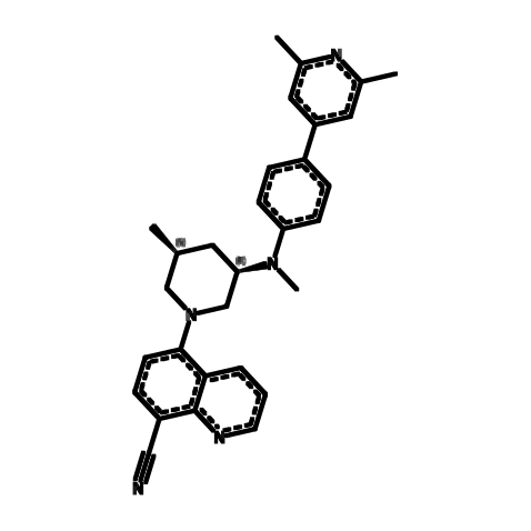 Cc1cc(-c2ccc(N(C)[C@@H]3C[C@H](C)CN(c4ccc(C#N)c5ncccc45)C3)cc2)cc(C)n1